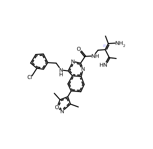 CC(=N)/C(CNC(=O)c1nc(NCc2cccc(Cl)c2)c2cc(-c3c(C)noc3C)ccc2n1)=C(/C)N